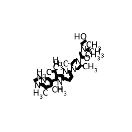 Cc1c(-c2[nH]c3ccc(N4C[C@H](C)N(C(=O)CN(CCO)C(C)(C)C)C[C@H]4C)nc3c2C(C)C)cn2ncnc2c1C